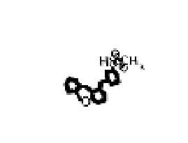 CS(=O)(=O)Nc1cccc(C=c2cccc3c2=Cc2ccccc2CO3)c1